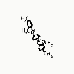 COc1cc(C)ccc1N=Nc1ccc(N=Nc2ccc(C)cc2C)cc1